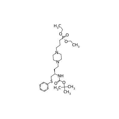 CCOP(=O)(CCCN1CCN(CC[C@H](CSc2ccccc2)NC(=O)OC(C)(C)C)CC1)OCC